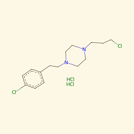 Cl.Cl.ClCCCN1CCN(CCc2ccc(Cl)cc2)CC1